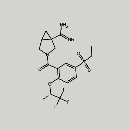 CCS(=O)(=O)c1ccc(O[C@@H](C)C(F)(F)F)c(C(=O)N2CC3CC3(C(=N)N)C2)c1